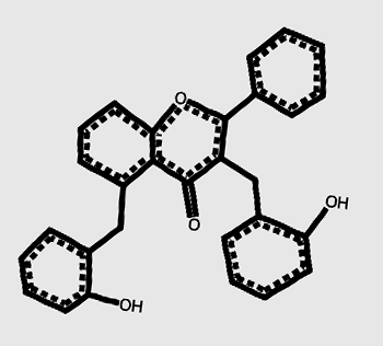 O=c1c(Cc2ccccc2O)c(-c2ccccc2)oc2cccc(Cc3ccccc3O)c12